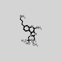 COCc1nc2c(N)nc3cc(CCCN)ccc3c2n1CC(C)(C)O